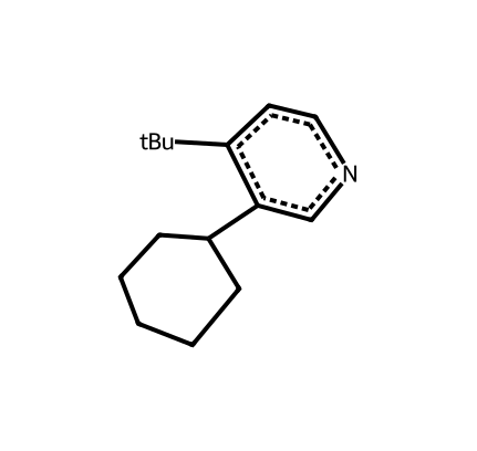 CC(C)(C)c1ccncc1C1CCCCC1